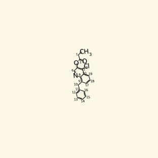 CCC(=O)Oc1cnc2c(Cc3ccccc3)cccc2c1Cl